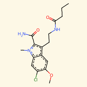 CCCC(=O)NCCc1c(C(N)=O)n(C)c2cc(Cl)c(OC)cc12